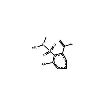 C=C(C(C)=O)c1cccc([N+](=O)[O-])c1S(=O)(=O)N(C)CCCC